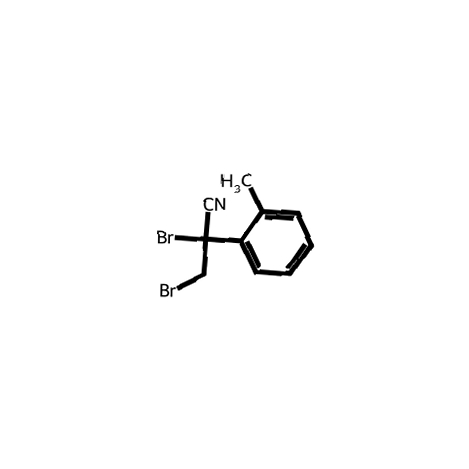 Cc1ccccc1C(Br)(C#N)CBr